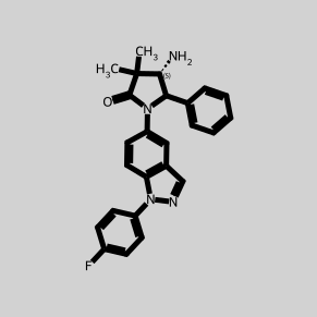 CC1(C)C(=O)N(c2ccc3c(cnn3-c3ccc(F)cc3)c2)C(c2ccccc2)[C@H]1N